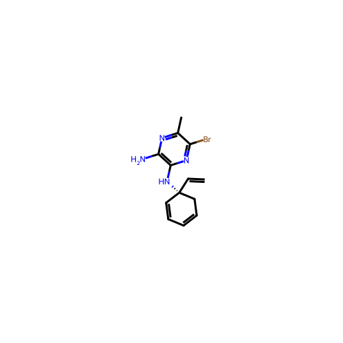 C=C[C@]1(Nc2nc(Br)c(C)nc2N)C=CC=CC1